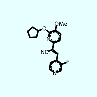 COc1ccc(C(C#N)=Cc2ccncc2F)nc1OC1CCCC1